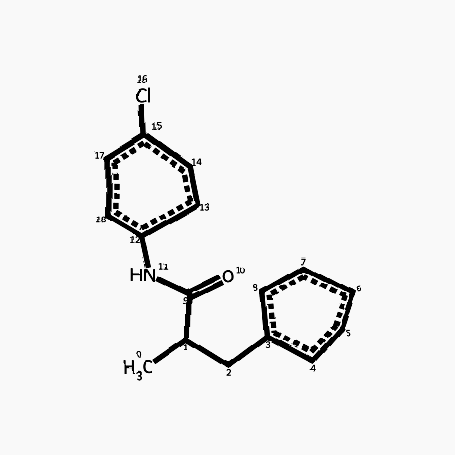 CC(Cc1ccccc1)C(=O)Nc1ccc(Cl)cc1